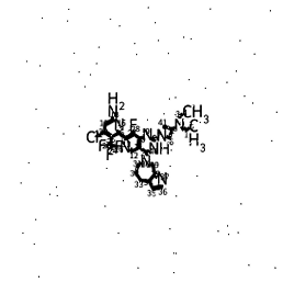 CCN(CC)C1CN(C2=Nc3c(cnc(-c4nc(N)cc(Cl)c4C(F)(F)F)c3F)C(N3CCCC4C=CN=C4C3)N2)C1